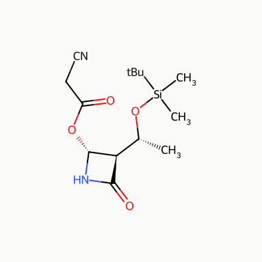 C[C@@H](O[Si](C)(C)C(C)(C)C)[C@H]1C(=O)N[C@@H]1OC(=O)CC#N